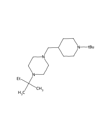 CCC(C)(C)N1CCN(CC2CCN(C(C)(C)C)CC2)CC1